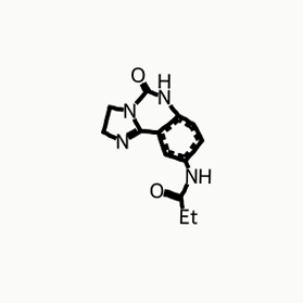 CCC(=O)Nc1ccc2c(c1)C1=NCCN1C(=O)N2